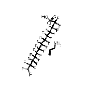 C=CCN.O=S(=O)(O)C(F)(F)C(F)(F)C(F)(F)C(F)(F)C(F)(F)C(F)(F)C(F)(F)C(F)(F)C(F)(F)C(F)(F)C(F)(F)C(F)F